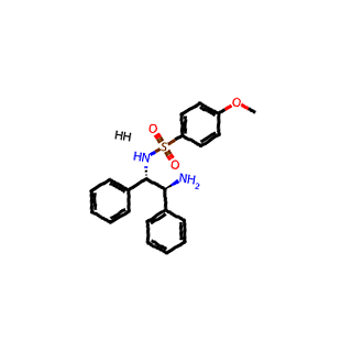 COc1ccc(S(=O)(=O)N[C@@H](c2ccccc2)[C@@H](N)c2ccccc2)cc1.[HH]